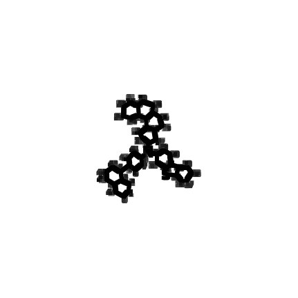 c1ccc2c(-c3ccc(N(c4ccc5c(ccc6ccc7ccccc7c65)c4)c4ccc5c(c4)sc4ccccc45)cc3)cccc2c1